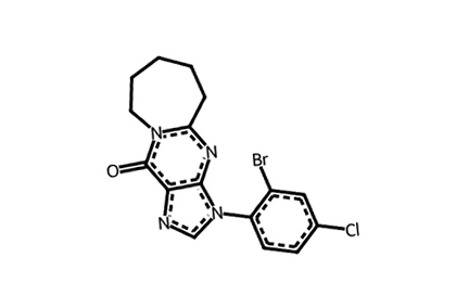 O=c1c2ncn(-c3ccc(Cl)cc3Br)c2nc2n1CCCCC2